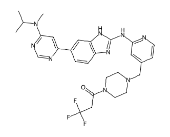 CC(C)N(C)c1cc(-c2ccc3nc(Nc4cc(CN5CCN(C(=O)CC(F)(F)F)CC5)ccn4)[nH]c3c2)ncn1